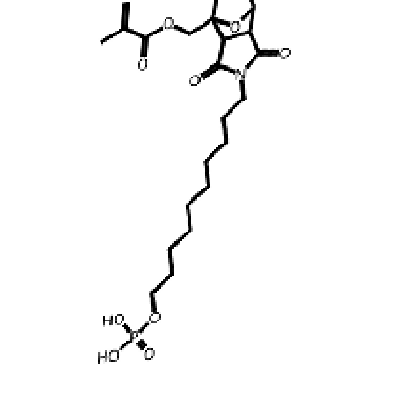 C=C(C)C(=O)OCC12C=CC(O1)C1C(=O)N(CCCCCCCCCCOP(=O)(O)O)C(=O)C12